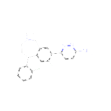 CN1CCC(c2ccccc2F)c2cc(F)c(-c3ccc(N)nn3)cc2C1